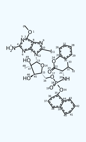 COc1nc(N)nc2c1nc(I)n2[C@@H]1O[C@H](COP(=O)(N[C@H](C(=O)Oc2ccccc2)C(C)C)Oc2cccc3ccccc23)[C@@H](O)[C@@]1(C)O